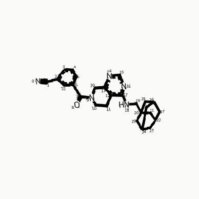 N#Cc1cccc(C(=O)N2CCc3c(ncnc3NCC34CC5CC(CC(C5)C3)C4)C2)c1